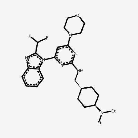 CCN(CC)[C@H]1CC[C@H](CNc2nc(N3CCOCC3)cc(-n3c(C(F)F)nc4ccccc43)n2)CC1